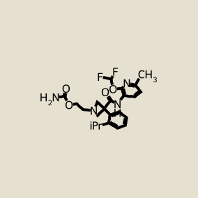 Cc1ccc(NC(=O)C2(c3ccccc3C(C)C)CN(CCOC(N)=O)C2)c(OC(F)F)n1